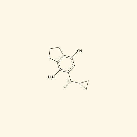 C[C@H](c1cc(C#N)c2c(c1N)CCC2)C1CC1